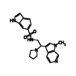 Cn1cc(C(CNS(=O)(=O)c2ccc3cc[nH]c3c2)N2CCCC2)c2ccncc21